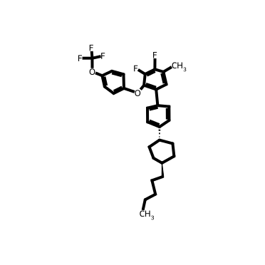 CCCCC[C@H]1CC[C@H](c2ccc(-c3cc(C)c(F)c(F)c3Oc3ccc(OC(F)(F)F)cc3)cc2)CC1